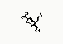 COCCn1c(CO)cn2nc(C(=O)O)cc12